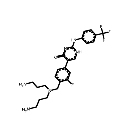 NCCCN(CCCN)Cc1ccc(-c2c[nH]c(Nc3ccc(C(F)(F)F)cc3)nc2=O)cc1F